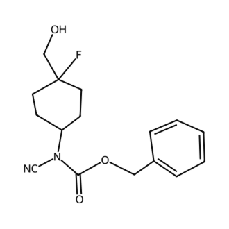 N#CN(C(=O)OCc1ccccc1)C1CCC(F)(CO)CC1